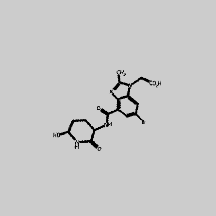 Cc1nc2c(C(=O)NC3CCC(O)NC3=O)cc(Br)cc2n1CC(=O)O